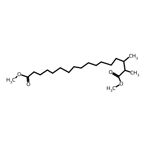 COC(=O)CCCCCCCCCCCCCC(C)C(C)C(=O)OC